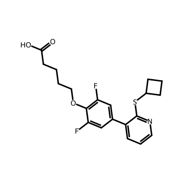 O=C(O)CCCCOc1c(F)cc(-c2cccnc2SC2CCC2)cc1F